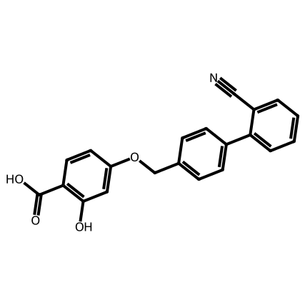 N#Cc1ccccc1-c1ccc(COc2ccc(C(=O)O)c(O)c2)cc1